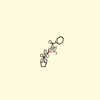 CCOC(=O)N1C2CCC1CC(NCCNC(=O)N1CCCCC1)C2